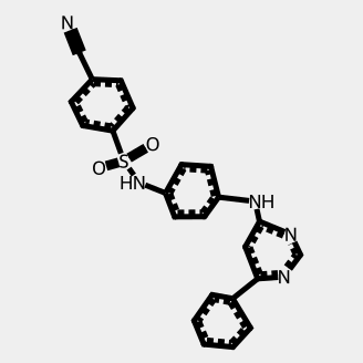 N#Cc1ccc(S(=O)(=O)Nc2ccc(Nc3cc(-c4ccccc4)ncn3)cc2)cc1